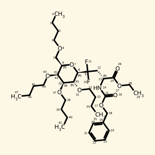 CCCCOC[C@H]1O[C@@H](C(F)(F)C[C@@H](NC(=O)OCc2ccccc2)C(=O)OCC)[C@H](OCCCC)[C@@H](OCCCC)[C@H]1OCCCC